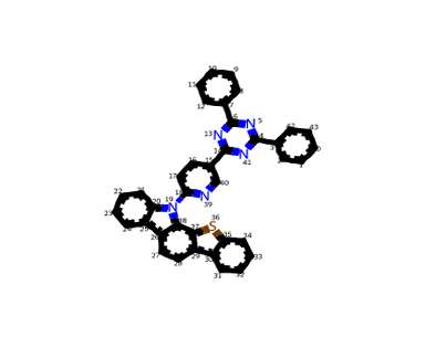 c1ccc(-c2nc(-c3ccccc3)nc(-c3ccc(-n4c5ccccc5c5ccc6c7ccccc7sc6c54)nc3)n2)cc1